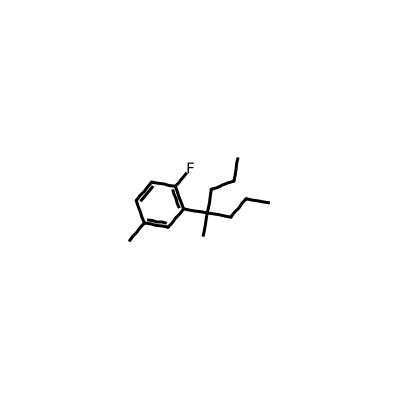 CCCC(C)(CCC)c1cc(C)ccc1F